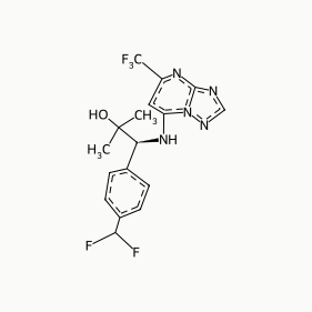 CC(C)(O)[C@@H](Nc1cc(C(F)(F)F)nc2ncnn12)c1ccc(C(F)F)cc1